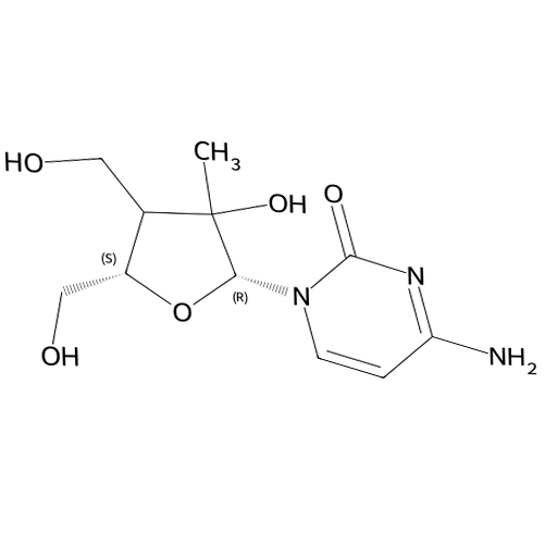 CC1(O)C(CO)[C@@H](CO)O[C@H]1n1ccc(N)nc1=O